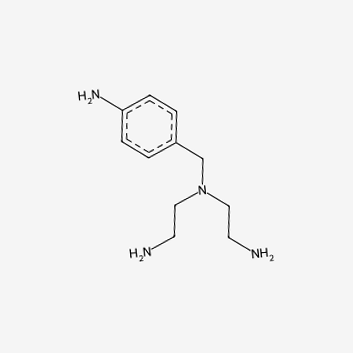 NCCN(CCN)Cc1ccc(N)cc1